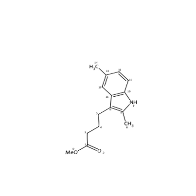 COC(=O)CCCc1c(C)[nH]c2ccc(C)cc12